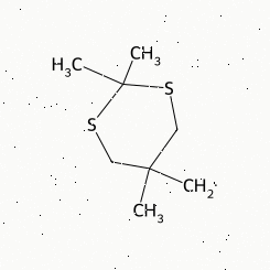 [CH2]C1(C)CSC(C)(C)SC1